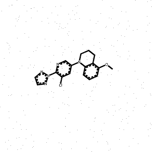 COc1cccc2c1CCCN2c1cnc(-n2nccn2)c(Cl)c1